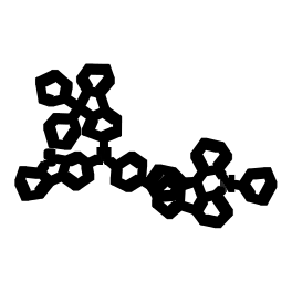 c1ccc(N2c3ccccc3C3(c4ccccc4)c4cc(-c5ccc(N(c6ccc7c(c6)C(c6ccccc6)(c6ccccc6)c6ccccc6-7)c6ccc7c(c6)sc6ccccc67)cc5)ccc4-c4cccc2c43)cc1